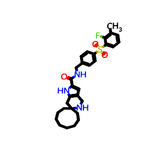 Cc1cccc(S(=O)(=O)c2ccc(CNC(=O)c3cc4c([nH]3)CC3(CCCCCCCC3)NC4)cc2)c1F